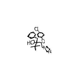 CC(C)(C)C(O)(Cc1ccccc1)C(Cn1ccnc1)Oc1ccc(Cl)cc1